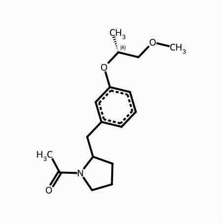 COC[C@@H](C)Oc1cccc(CC2CCCN2C(C)=O)c1